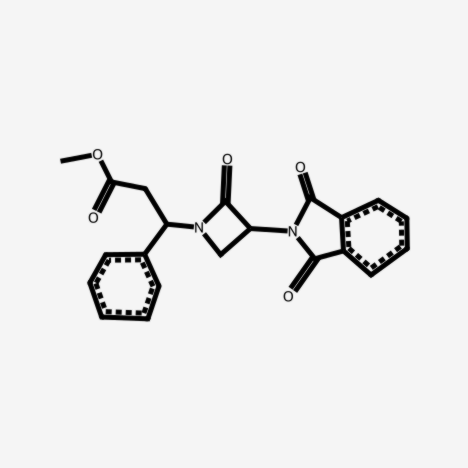 COC(=O)CC(c1ccccc1)N1CC(N2C(=O)c3ccccc3C2=O)C1=O